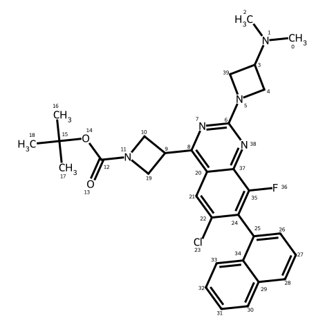 CN(C)C1CN(c2nc(C3CN(C(=O)OC(C)(C)C)C3)c3cc(Cl)c(-c4cccc5ccccc45)c(F)c3n2)C1